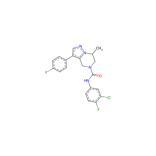 CC1CN(C(=O)Nc2ccc(F)c(Cl)c2)Cc2c(-c3ccc(F)cc3)cnn21